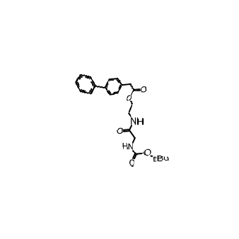 CC(C)(C)OC(=O)NCC(=O)NCCOC(=O)Cc1ccc(-c2ccccc2)cc1